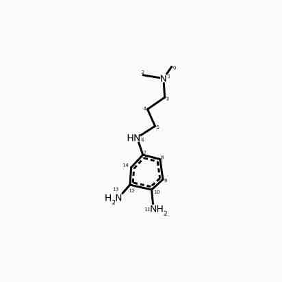 CN(C)CCCNc1ccc(N)c(N)c1